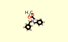 COC(=O)CN(Cc1ccccc1)Cc1ccccc1